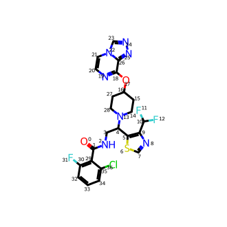 O=C(NCC(c1scnc1C(F)F)N1CCC(Oc2nccn3cnnc23)CC1)c1c(F)cccc1Cl